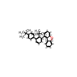 CC(C)(C)c1ccc(-c2cccc(-c3cccc4oc5ccccc5c34)c2C(C)(C)C)cc1